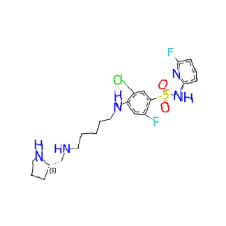 O=S(=O)(Nc1cccc(F)n1)c1cc(Cl)c(NCCCCCNC[C@@H]2CCCN2)cc1F